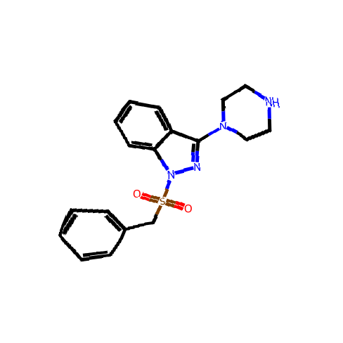 O=S(=O)(Cc1ccccc1)n1nc(N2CCNCC2)c2ccccc21